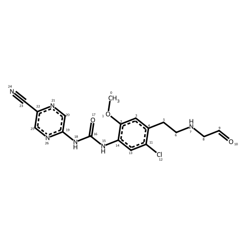 COc1cc(CCNCC=O)c(Cl)cc1NC(=O)Nc1cnc(C#N)cn1